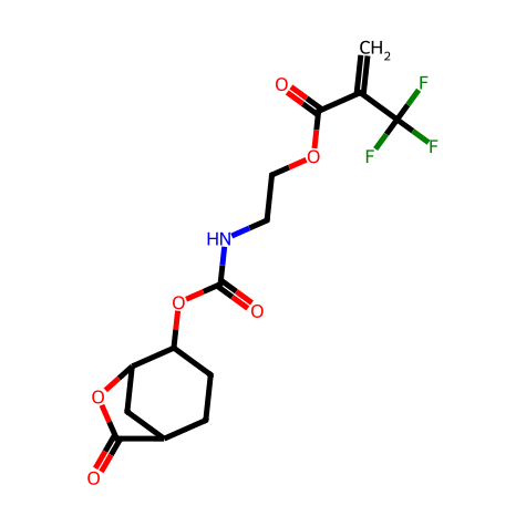 C=C(C(=O)OCCNC(=O)OC1CCC2CC1OC2=O)C(F)(F)F